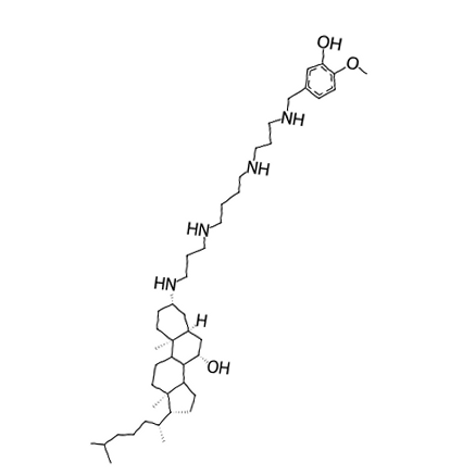 COc1ccc(CNCCCNCCCCNCCCN[C@H]2CC[C@]3(C)C4CC[C@@]5(C)C(CC[C@@H]5[C@H](C)CCCC(C)C)C4[C@@H](O)C[C@@H]3C2)cc1O